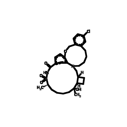 C[C@H]1CCCC[C@@](C)(O)[C@@H]2CC[C@H]2CN2CCCCc3cc(Cl)ccc3COc3ccc(cc32)C(=O)NS1(=O)=O